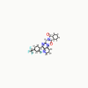 O=C1c2ccccc2C(=O)N1Cc1nc(-c2ccc(C(F)(F)F)cc2F)c2ncccc2n1